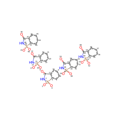 O=C1NS(=O)(=O)c2ccccc21.O=C1NS(=O)(=O)c2ccccc21.O=C1NS(=O)(=O)c2ccccc21.O=C1NS(=O)(=O)c2ccccc21.O=C1NS(=O)(=O)c2ccccc21